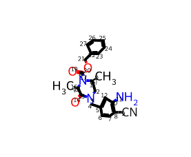 C[C@H]1CN(Cc2ccc(C#N)c(N)c2)C(=O)[C@H](C)N1C(=O)OCc1ccccc1